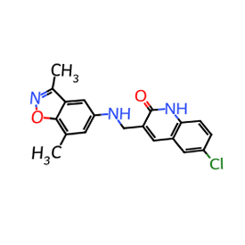 Cc1noc2c(C)cc(NCc3cc4cc(Cl)ccc4[nH]c3=O)cc12